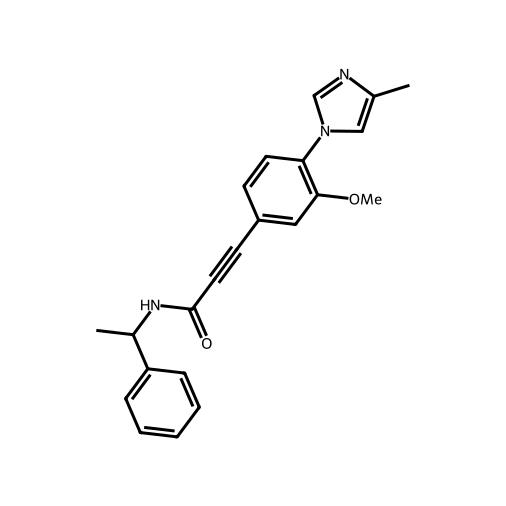 COc1cc(C#CC(=O)NC(C)c2ccccc2)ccc1-n1cnc(C)c1